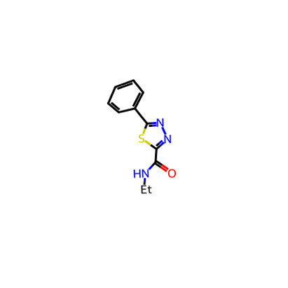 CCNC(=O)c1nnc(-c2ccccc2)s1